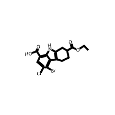 CCOC(=O)C1CCc2c([nH]c3c(C(=O)O)cc(Cl)c(Br)c23)C1